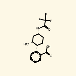 O=C(S)c1ccccc1[C@H]1CC[C@@H](NC(=O)C(F)(F)F)C[C@H]1O